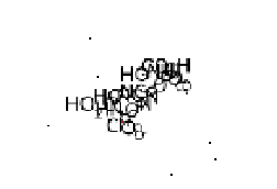 Cc1cccc2c1CC[C@@H]2Oc1cc(OCc2cnc(-c3ncc(COc4cc(O[C@H]5CCc6c(C)cccc65)c(Cl)cc4CN[C@@H](CO)C(=O)O)cc3C#N)c(C#N)c2)c(CN[C@@H](CO)C(=O)O)cc1Cl